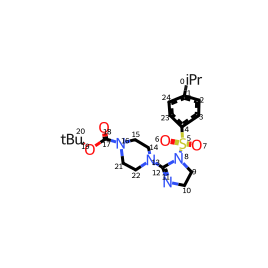 CC(C)c1ccc(S(=O)(=O)N2CCN=C2N2CCN(C(=O)OC(C)(C)C)CC2)cc1